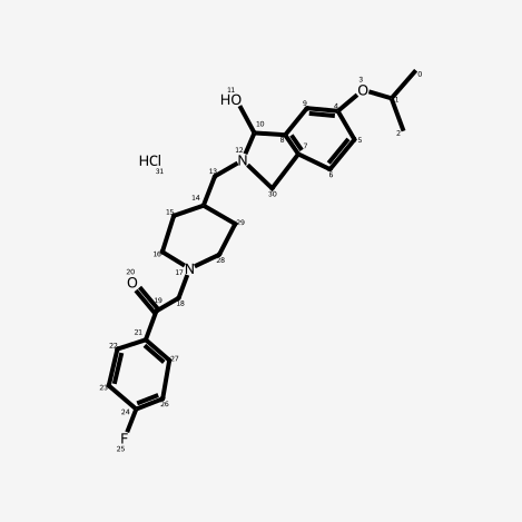 CC(C)Oc1ccc2c(c1)C(O)N(CC1CCN(CC(=O)c3ccc(F)cc3)CC1)C2.Cl